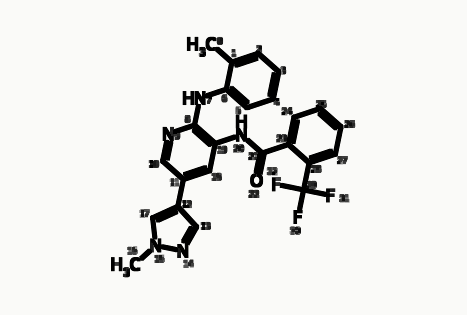 Cc1ccccc1Nc1ncc(-c2cnn(C)c2)cc1NC(=O)c1ccccc1C(F)(F)F